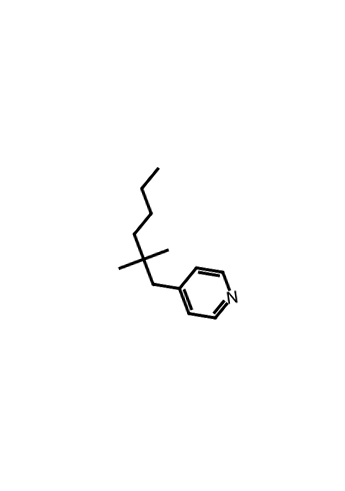 CCCCC(C)(C)Cc1ccncc1